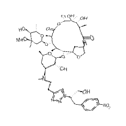 CC[C@H]1OC(=O)[C@H](C)[C@@H](O[C@H]2C[C@@](C)(OC)[C@@H](O)[C@H](C)O2)[C@H](C)[C@@H](O[C@@H]2O[C@H](C)C[C@H](N(C)CCc3cn([C@H](CO)Cc4ccc([N+](=O)[O-])cc4)nn3)[C@H]2O)[C@@]2(C)C[C@@H](CO2)C(=O)[C@H](C)[C@@H](O)[C@]1(C)O